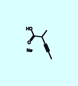 CC#CC(C)C(=O)O.[Na]